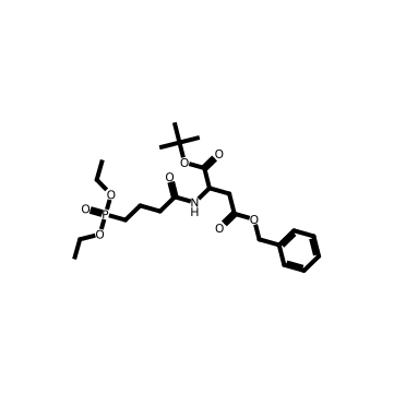 CCOP(=O)(CCCC(=O)NC(CC(=O)OCc1ccccc1)C(=O)OC(C)(C)C)OCC